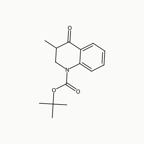 CC1CN(C(=O)OC(C)(C)C)c2ccccc2C1=O